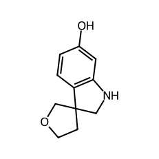 Oc1ccc2c(c1)NCC21CCOC1